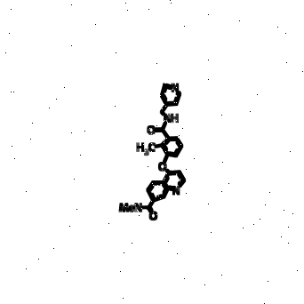 CNC(=O)c1ccc2c(Oc3cccc(C(=O)NCc4ccncc4)c3C)ccnc2c1